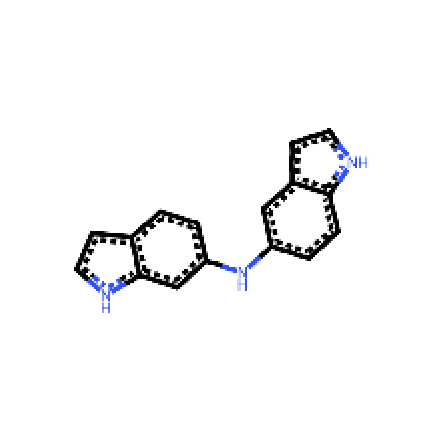 c1cc2cc(Nc3ccc4cc[nH]c4c3)ccc2[nH]1